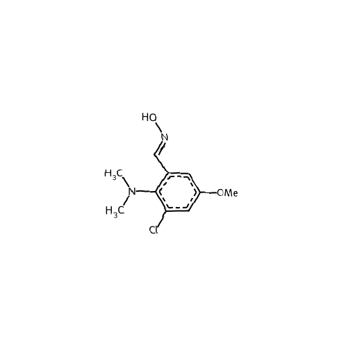 COc1cc(Cl)c(N(C)C)c(C=NO)c1